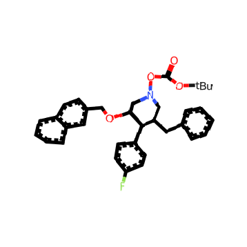 CC(C)(C)OC(=O)ON1CC(Cc2ccccc2)C(c2ccc(F)cc2)C(OCc2ccc3ccccc3c2)C1